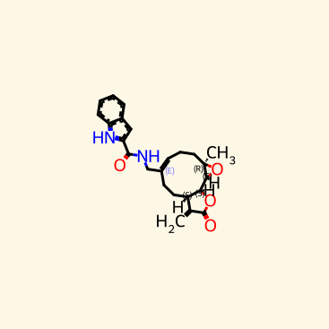 C=C1C(=O)O[C@H]2[C@H]1CC/C(CNC(=O)c1cc3ccccc3[nH]1)=C\CC[C@@]1(C)O[C@@H]21